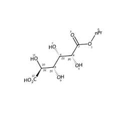 CCCOC(=O)[C@H](O)[C@@H](O)[C@H](O)[C@H](O)C(=O)O